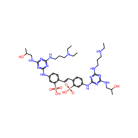 CCNCCCNc1nc(NCC(C)O)nc(Nc2ccc(/C=C/c3ccc(Nc4nc(NCCCN(CC)CC)nc(NCC(C)O)n4)cc3S(=O)(=O)O)c(S(=O)(=O)O)c2)n1